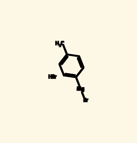 Br.Cc1cc[c]([Mg][Br])cc1